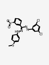 CSc1ccc(N/N=C(/N=N/c2cc(Cl)cc(Cl)c2)c2cccc([N+](=O)[O-])c2)cc1